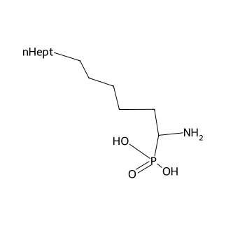 CCCCCCCCCCCCC(N)P(=O)(O)O